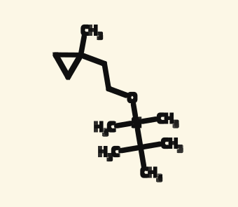 CC1(CCO[Si](C)(C)C(C)(C)C)CC1